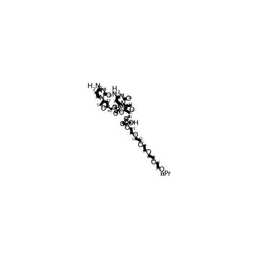 CCCOCCOCCOCCOCCOCCOP(=O)(O)OC[C@H]1OCC(n2ccc(N)nc2=O)[C@@H]1OP(=O)(O)OC[C@@H]1C[C@H](n2ccc(N)nc2=O)CO1